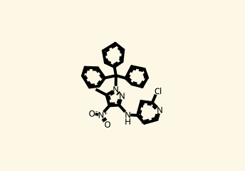 Cc1c([N+](=O)[O-])c(Nc2[c]cnc(Cl)c2)nn1C(c1ccccc1)(c1ccccc1)c1ccccc1